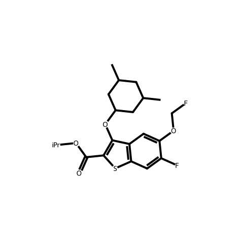 CC1CC(C)CC(Oc2c(C(=O)OC(C)C)sc3cc(F)c(OCF)cc23)C1